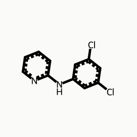 Clc1cc(Cl)cc(Nc2ccccn2)c1